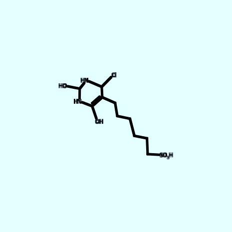 O=S(=O)(O)CCCCCCC1=C(O)NC(O)NC1Cl